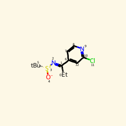 CC/C(=N\[S@+]([O-])C(C)(C)C)c1ccnc(Cl)c1